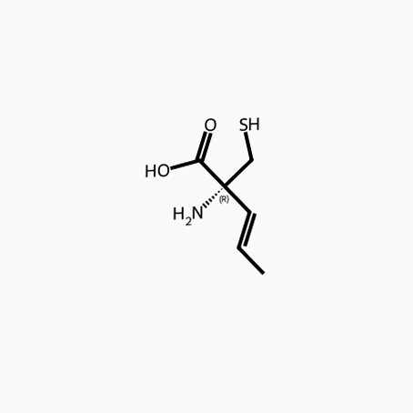 CC=C[C@](N)(CS)C(=O)O